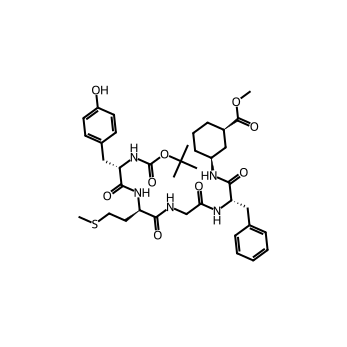 COC(=O)[C@@H]1CCC[C@H](NC(=O)[C@H](Cc2ccccc2)NC(=O)CNC(=O)[C@@H](CCSC)NC(=O)[C@H](Cc2ccc(O)cc2)NC(=O)OC(C)(C)C)C1